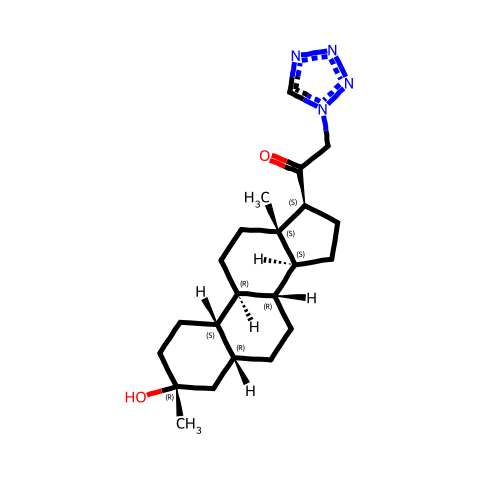 C[C@@]1(O)CC[C@H]2[C@H](CC[C@@H]3[C@@H]2CC[C@]2(C)[C@@H](C(=O)Cn4cnnn4)CC[C@@H]32)C1